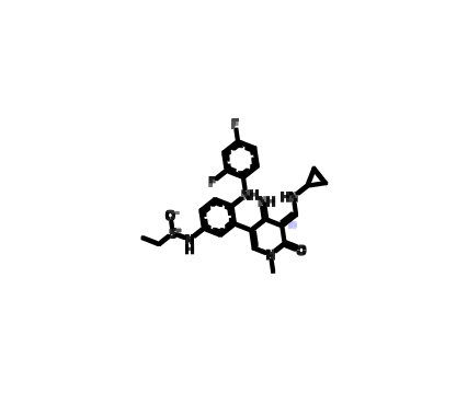 CC[S+]([O-])Nc1ccc(Nc2ccc(F)cc2F)c(C2=CN(C)C(=O)/C(=C/NC3CC3)C2=N)c1